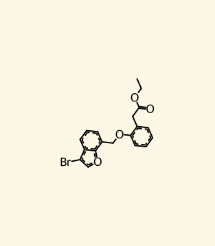 CCOC(=O)Cc1ccccc1OCc1cccc2c(Br)coc12